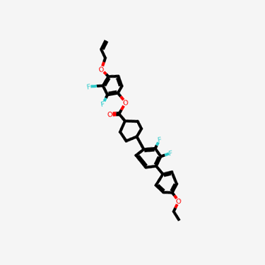 C=CCOc1ccc(OC(=O)C2CCC(c3ccc(-c4ccc(OCC)cc4)c(F)c3F)CC2)c(F)c1F